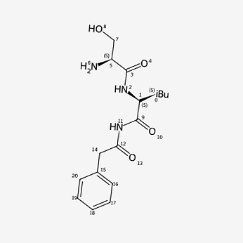 CC[C@H](C)[C@H](NC(=O)[C@@H](N)CO)C(=O)NC(=O)Cc1ccccc1